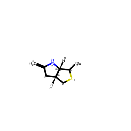 C=C1C[C@H]2CSC(C(C)(C)C)[C@H]2N1